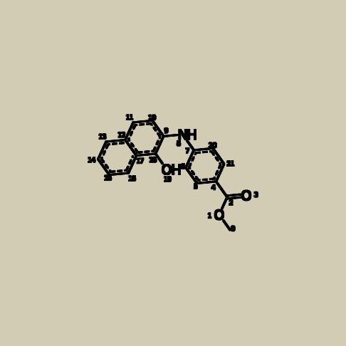 COC(=O)c1ccc(Nc2ccc3ccccc3c2O)cc1